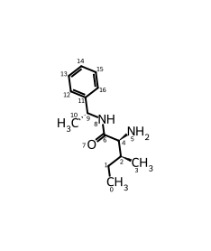 CC[C@H](C)[C@H](N)C(=O)N[C@H](C)c1ccccc1